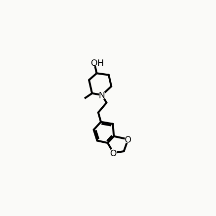 CC1CC(O)CCN1CCc1ccc2c(c1)OCO2